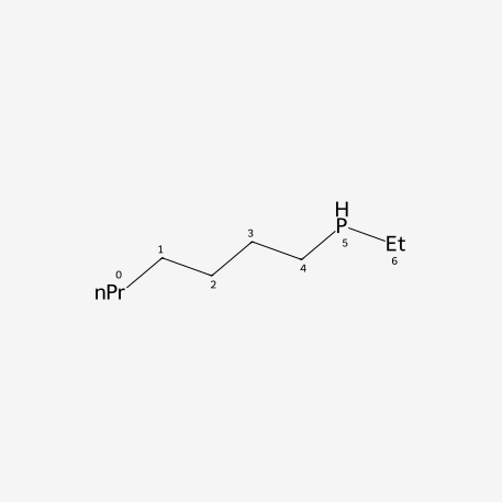 CCCCCCCPCC